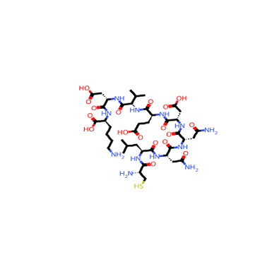 CC(C)C[C@H](NC(=O)[C@@H](N)CS)C(=O)N[C@@H](CC(N)=O)C(=O)N[C@@H](CC(N)=O)C(=O)N[C@@H](CC(=O)O)C(=O)N[C@@H](CCC(=O)O)C(=O)N[C@H](C(=O)N[C@@H](CC(=O)O)C(=O)N[C@@H](CCCCN)C(=O)O)C(C)C